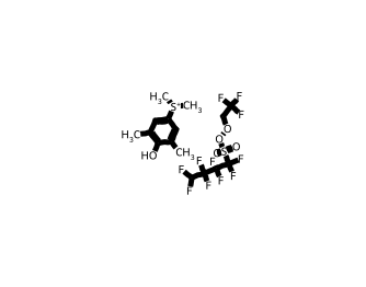 Cc1cc([S+](C)C)cc(C)c1O.O=S(=O)(OOCC(F)(F)F)C(F)(F)C(F)(F)C(F)(F)C(F)F